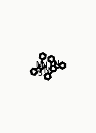 c1ccc(-c2nc(-n3c4ccccc4c4cc5c6ccccc6n6c7ccccc7c(c43)c56)c3sc4ccccc4c3n2)cc1